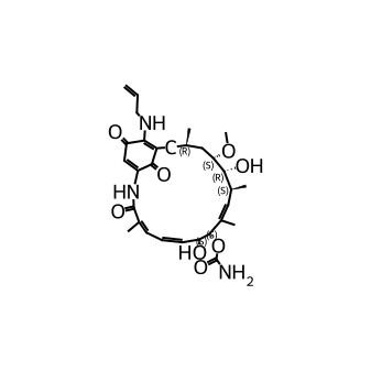 C=CCNC1=C2C[C@@H](C)C[C@H](OC)[C@H](O)[C@@H](C)C=C(C)[C@H](OC(N)=O)[C@@H](O)C=CC=C(C)C(=O)NC(=CC1=O)C2=O